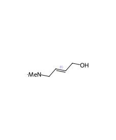 C[N]C/C=C/CO